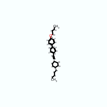 CCCCC[C@H]1CC[C@H](C#Cc2ccc(-c3ccc(OCCCC)cc3)cc2)CC1